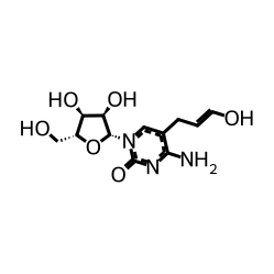 Nc1nc(=O)n([C@@H]2O[C@H](CO)[C@@H](O)[C@H]2O)cc1CC=CO